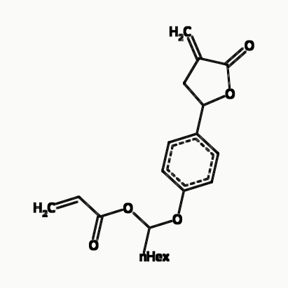 C=CC(=O)OC(CCCCCC)Oc1ccc(C2CC(=C)C(=O)O2)cc1